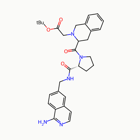 CC(C)(C)OC(=O)CN1Cc2ccccc2CC1C(=O)N1CCC[C@@H]1C(=O)NCc1ccc2c(N)nccc2c1